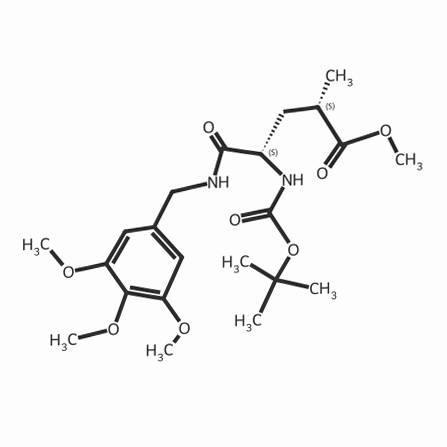 COC(=O)[C@@H](C)C[C@H](NC(=O)OC(C)(C)C)C(=O)NCc1cc(OC)c(OC)c(OC)c1